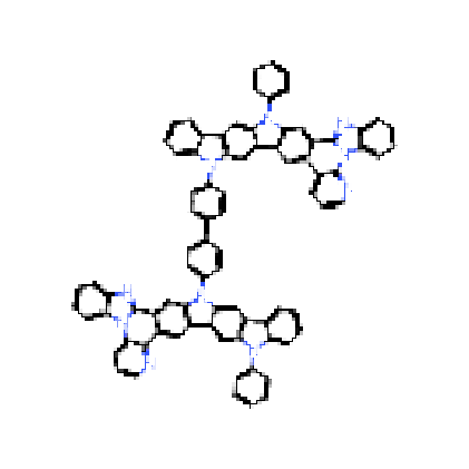 c1ccc(-n2c3ccccc3c3cc4c(cc32)c2cc3c(cc2n4-c2ccc(-c4ccc(-n5c6ccccc6c6cc7c(cc65)c5cc6c8cccnc8n8c9ccccc9nc8c6cc5n7-c5ccccc5)cc4)cc2)c2nc4ccccc4n2c2cccnc32)cc1